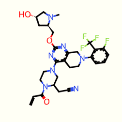 C=CC(=O)N1CCN(c2nc(OC[C@H]3C[C@H](O)CN3C)nc3c2CCN(c2cccc(F)c2C(F)(F)F)C3)CC1CC#N